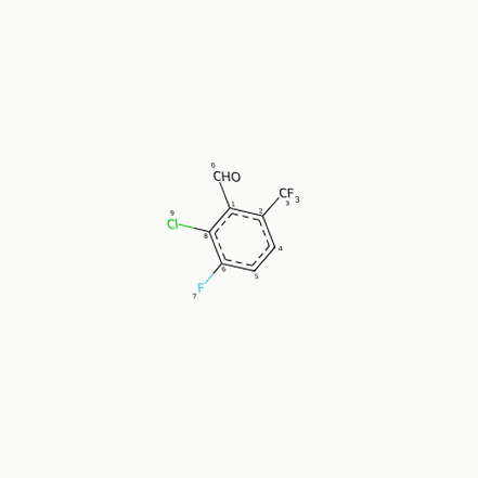 O=Cc1c(C(F)(F)F)ccc(F)c1Cl